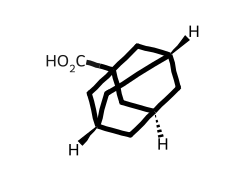 O=C(O)C12C[C@H]3C[C@@H](C1)C[C@@H](C2)C3